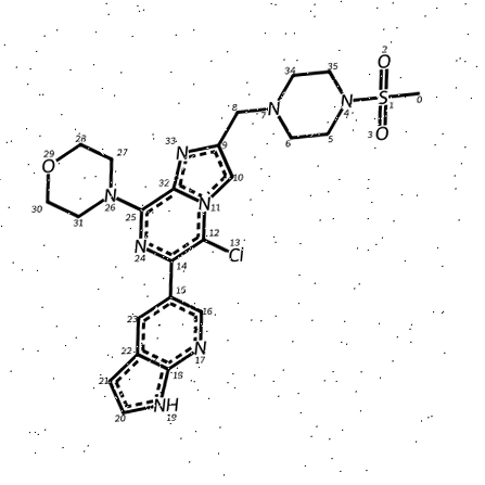 CS(=O)(=O)N1CCN(Cc2cn3c(Cl)c(-c4cnc5[nH]ccc5c4)nc(N4CCOCC4)c3n2)CC1